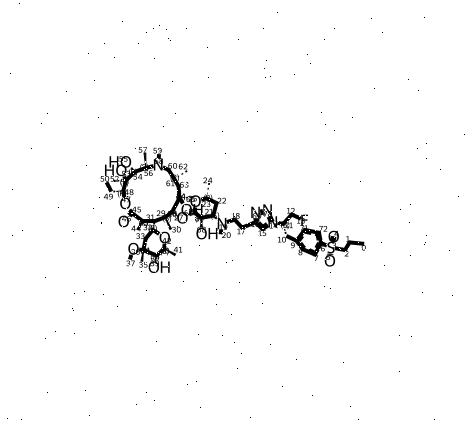 CCCS(=O)(=O)c1ccc(C[C@@H](CF)n2cc(CCN(C)[C@H]3C[C@@H](C)O[C@@H](O[C@@H]4[C@@H](C)C([C@H]5C[C@@](C)(OC)[C@@H](O)[C@H](C)O5)[C@@H](C)C(=O)O[C@H](CC)[C@@](C)(O)[C@H](O)[C@@H](C)N(C)C[C@H](C)C[C@@]4(C)O)[C@@H]3O)nn2)cc1